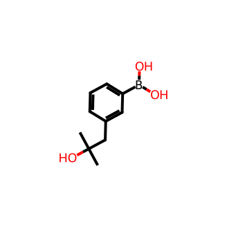 CC(C)(O)Cc1cccc(B(O)O)c1